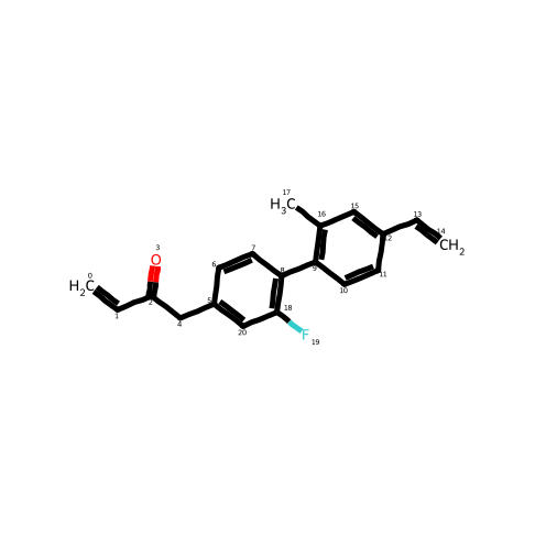 C=CC(=O)Cc1ccc(-c2ccc(C=C)cc2C)c(F)c1